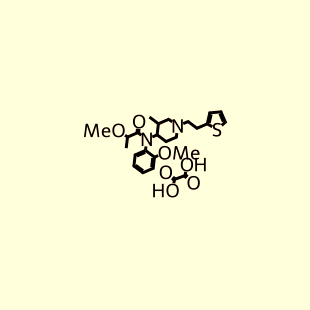 COc1ccccc1N(C(=O)C(C)OC)C1CCN(CCc2cccs2)CC1C.O=C(O)C(=O)O